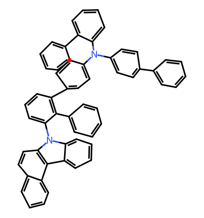 c1ccc(-c2ccc(N(c3ccc(-c4cccc(-n5c6ccccc6c6c7ccccc7ccc65)c4-c4ccccc4)cc3)c3ccccc3-c3ccccc3)cc2)cc1